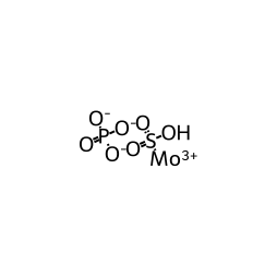 O=P([O-])([O-])[O-].O=[S](=O)(O)[Mo+3]